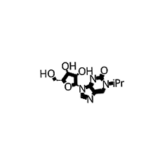 CC(C)n1cc2ncn([C@@H]3O[C@H](CO)[C@@H](O)[C@H]3O)c2nc1=O